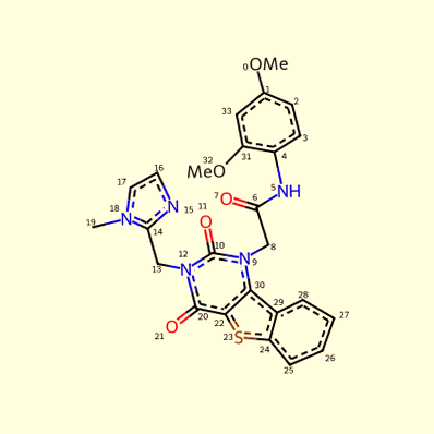 COc1ccc(NC(=O)Cn2c(=O)n(Cc3nccn3C)c(=O)c3sc4ccccc4c32)c(OC)c1